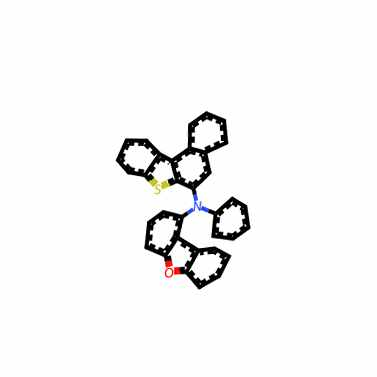 c1ccc(N(c2cc3ccccc3c3c2sc2ccccc23)c2cccc3oc4ccccc4c23)cc1